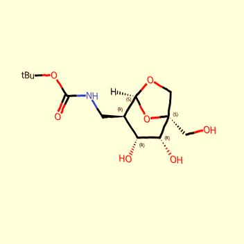 CC(C)(C)OC(=O)NC[C@H]1[C@H]2OC[C@](CO)(O2)[C@H](O)[C@@H]1O